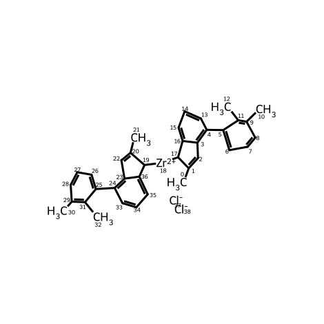 CC1=Cc2c(-c3cccc(C)c3C)cccc2[CH]1[Zr+2][CH]1C(C)=Cc2c(-c3cccc(C)c3C)cccc21.[Cl-].[Cl-]